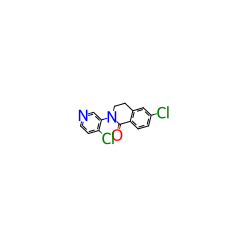 O=C1c2ccc(Cl)cc2CCN1c1cnccc1Cl